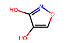 Oc1conc1O